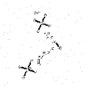 CC(=O)Cl.O.O.O.O.O.O.[O-][Cl+3]([O-])([O-])[O-].[O-][Cl+3]([O-])([O-])[O-].[Zn+2]